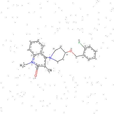 Cn1c(=O)c(C#N)c(N2CCC(OCc3ccccc3F)CC2)c2ccccc21